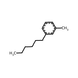 CCCCC[CH]c1cccc(C)c1